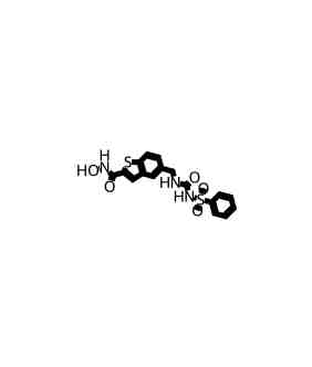 O=C(NCc1ccc2sc(C(=O)NO)cc2c1)NS(=O)(=O)c1ccccc1